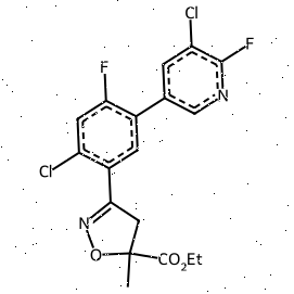 CCOC(=O)C1(C)CC(c2cc(-c3cnc(F)c(Cl)c3)c(F)cc2Cl)=NO1